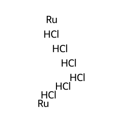 Cl.Cl.Cl.Cl.Cl.Cl.[Ru].[Ru]